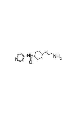 NCCC[C@H]1CC[C@H](C(=O)Nc2ccncc2)CC1